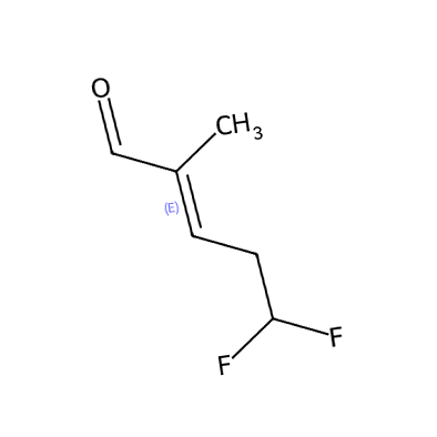 C/C(C=O)=C\CC(F)F